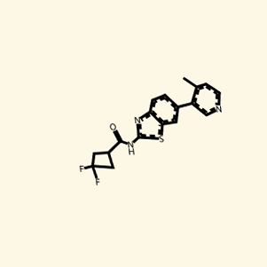 Cc1ccncc1-c1ccc2nc(NC(=O)C3CC(F)(F)C3)sc2c1